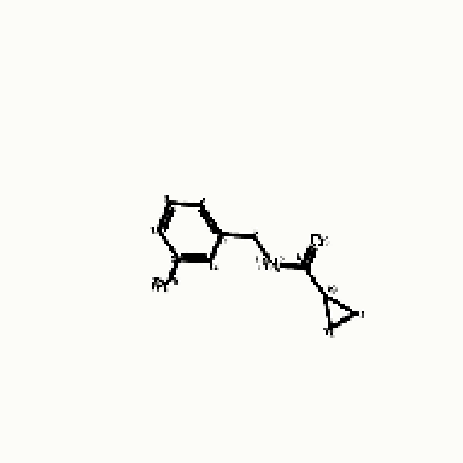 CC(C)c1cccc(CNC(=O)C2CC2)c1